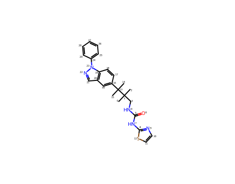 CC(C)(CNC(=O)Nc1nccs1)C(C)(C)c1ccc2c(cnn2-c2ccccc2)c1